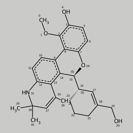 COc1c(O)ccc2c1-c1ccc3c(c1[C@H]([C@@H]1C=C(CO)CCC1)O2)C(C)=CC(C)(C)N3